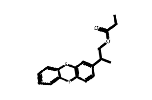 CCC(=O)OCC(C)c1ccc2c(c1)Sc1ccccc1S2